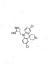 CN1CCC2(CC1)c1cc(Cl)ccc1N(CCC(=N)N)c1ccc(Cl)cc12